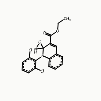 CCOC(=O)C1=Cc2ccccc2N(c2c(Cl)cccc2Cl)C12NO2